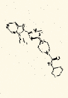 Cn1c(-c2noc(N3CCN(C(=O)NC4CCCCC4)CC3)n2)nc2ccccc21